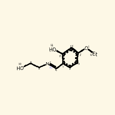 CCOc1ccc(/C=N/CCO)c(O)c1